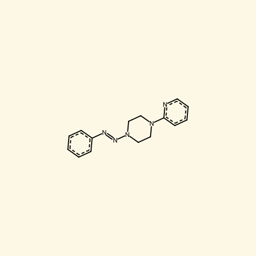 c1ccc(N=NN2CCN(c3ccccn3)CC2)cc1